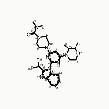 C[C@H]1OCCN(c2cc(N3CCN(C(=O)N(C)C)CC3)nc(-n3c(C(F)F)nc4ccccc43)n2)[C@H]1C